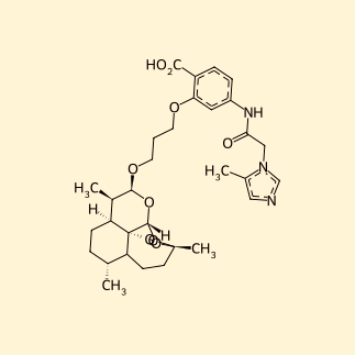 Cc1cncn1CC(=O)Nc1ccc(C(=O)O)c(OCCCO[C@H]2O[C@@H]3O[C@@]4(C)CCC5[C@H](C)CC[C@@H]([C@H]2C)[C@]53OO4)c1